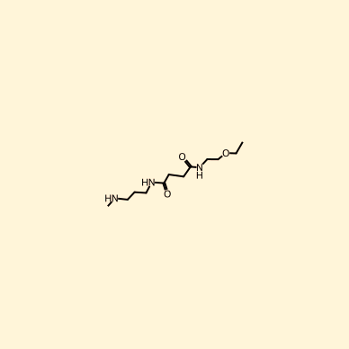 CCOCCNC(=O)CCC(=O)NCCCNC